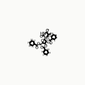 C[C@@]1(OC(=O)c2ccccc2)[C@H](OC(=O)c2ccccc2)[C@@H](COC(=O)c2ccccc2)O[C@H]1n1cc(I)c(=O)[nH]c1=O